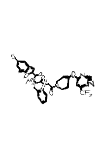 O=C(N[C@@H](Cc1ccccn1)C(=O)NCC(=O)N1CCC(Oc2cc(C(F)(F)F)ncn2)CC1)c1cc2cc(Cl)ccc2o1